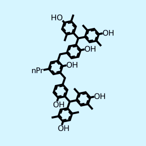 CCCc1cc(Cc2ccc(O)c(C(c3cc(C)c(O)cc3C)c3cc(C)c(O)cc3C)c2)c(O)c(Cc2ccc(O)c(C(c3cc(C)c(O)cc3C)c3cc(C)c(O)cc3C)c2)c1